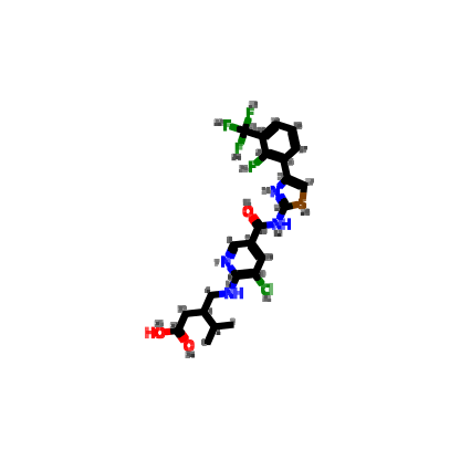 CC(C)C(CNc1ncc(C(=O)Nc2nc(-c3cccc(C(F)(F)F)c3F)cs2)cc1Cl)CC(=O)O